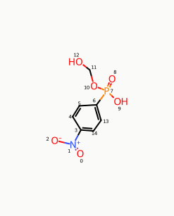 O=[N+]([O-])c1ccc(P(=O)(O)OCO)cc1